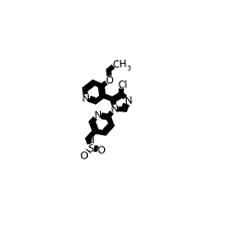 CCOc1ccncc1-c1c(Cl)ncn1-c1ccc(C[SH](=O)=O)cn1